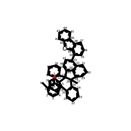 Cc1ccccc1-c1ccccc1C12c3ccccc3-c3ccccc3C1(C)c1cccc3c(-c4cccc5c4oc4ccccc45)ccc2c13